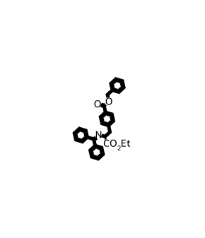 CCOC(=O)[C@H](Cc1ccc(C(=O)OCc2ccccc2)cc1)N=C(c1ccccc1)c1ccccc1